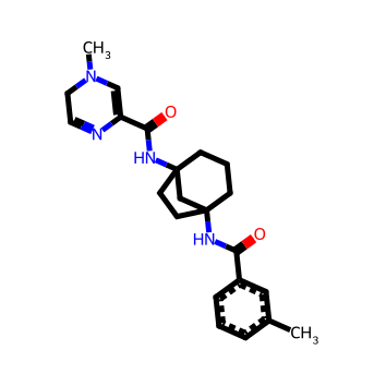 Cc1cccc(C(=O)NC23CCCC(NC(=O)C4=CN(C)CC=N4)(CC2)C3)c1